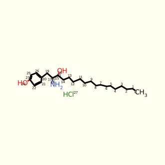 CCCCCCCCCCCCCCC[C@@H](O)[C@@H](N)Cc1ccc(O)cc1.Cl